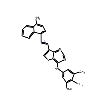 COc1cc(Nc2ncnc3c(/C=C/c4ccc(N)c5ccccc45)csc23)cc(C)c1C